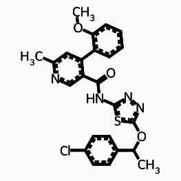 COc1ccccc1-c1cc(C)ncc1C(=O)Nc1nnc(OC(C)c2ccc(Cl)cc2)s1